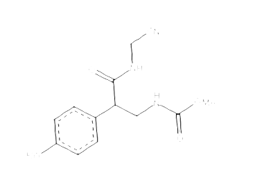 COC(=O)NCC(C(=O)NCC#N)c1ccc(O)cc1